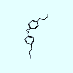 ICCc1ccc(Sc2ccc(CCI)cc2)cc1